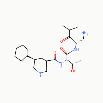 CC(C)C(=O)[C@H](CN)NC(=O)[C@@H](NC(=O)C1CNC[C@@H](C2CCCCC2)C1)[C@H](C)O